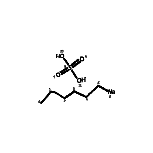 CCCCC[CH2][Na].O=S(=O)(O)O